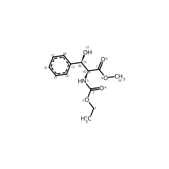 CCOC(=O)N[C@H](C(=O)OC)[C@H](O)c1ccccc1